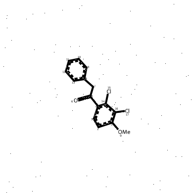 COc1ccc(C(=O)Cc2ccccc2)c(Cl)c1Cl